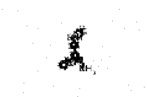 NCc1cc2cc(-c3ccc(C(=O)N4CCC(F)(F)CC4)cc3)cc(-c3cc4ccccc4o3)c2o1